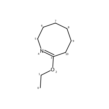 CCO/C1=N/CCCCCC1